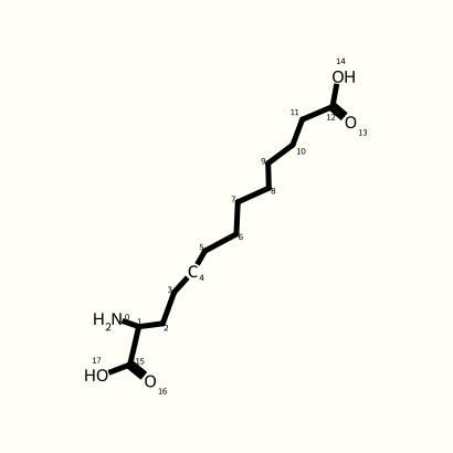 NC(CCCCCCCCCCC(=O)O)C(=O)O